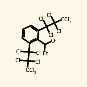 CCC([O])c1c(C(Cl)(Cl)C(Cl)(Cl)C(Cl)(Cl)Cl)cccc1C(Cl)(Cl)C(Cl)(Cl)C(Cl)(Cl)Cl